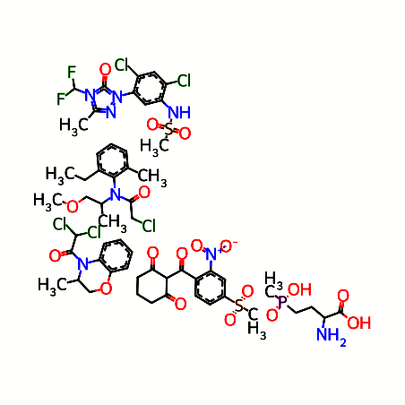 CC1COc2ccccc2N1C(=O)C(Cl)Cl.CCc1cccc(C)c1N(C(=O)CCl)C(C)COC.CP(=O)(O)CCC(N)C(=O)O.CS(=O)(=O)c1ccc(C(=O)C2C(=O)CCCC2=O)c([N+](=O)[O-])c1.Cc1nn(-c2cc(NS(C)(=O)=O)c(Cl)cc2Cl)c(=O)n1C(F)F